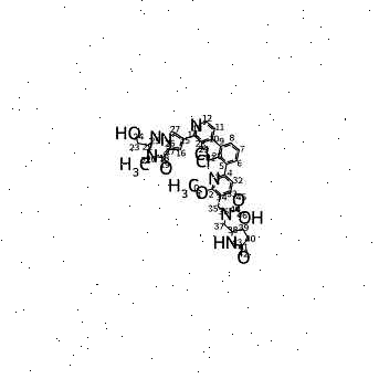 COc1nc(-c2cccc(-c3ccnc(-c4cc5c(=O)n(C)c(CO)nn5c4)c3Cl)c2Cl)ccc1CN(CC1CCC(=O)N1)C(=O)O